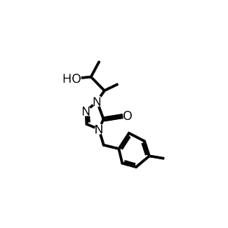 Cc1ccc(Cn2cnn(C(C)C(C)O)c2=O)cc1